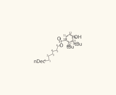 CCCCCCCCCCCCCCCCOC(=O)c1ccc(O)c(C(C)(C)C)c1C(C)(C)C